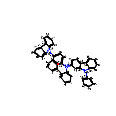 c1ccc(-c2ccccc2N(c2ccc(-n3c4ccccc4c4ccccc43)cc2)c2ccc3c4ccccc4n(-c4ccccc4)c3c2)cc1